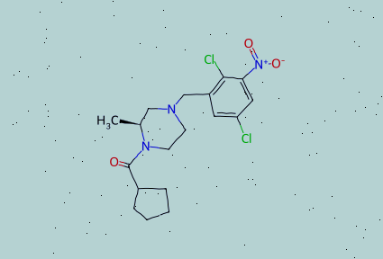 C[C@H]1CN(Cc2cc(Cl)cc([N+](=O)[O-])c2Cl)CCN1C(=O)C1CCCC1